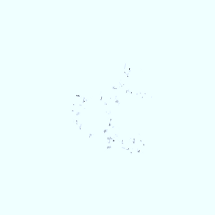 CCCNC[C@]1(O)[C@H](C)O[C@@H](O[C@H]2[C@H](C)[C@@H](O[C@@H]3O[C@H](C)C[C@H](N(C)S(=O)(=O)N(C)C4CCCCC4)[C@H]3O)[C@](C)(O)C[C@@H](C)CN[C@H](C)[C@@H](O)[C@](C)(O)[C@@H](CC)OC(=O)[C@@H]2C)C[C@@]1(C)OC